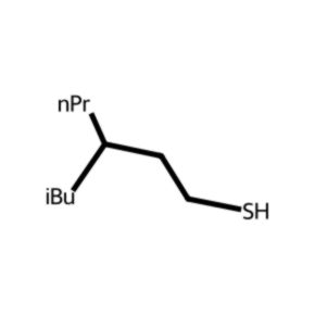 CCCC(CCS)C(C)CC